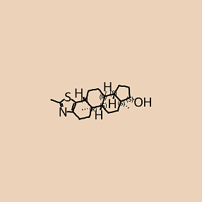 Cc1nc2c(s1)[C@@H]1CC[C@@H]3[C@H](CC[C@]4(C)[C@@H](O)CC[C@@H]34)[C@@]1(C)CC2